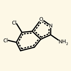 Nc1noc2c(Cl)c(Cl)ccc12